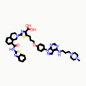 CN1CCN(CCCNc2ncnc3c2cnn3-c2ccc(OCCCc3sc(N4CCc5cccc(C(=O)Nc6nc7ccccc7s6)c5C4)nc3C(O)O)cc2)CC1